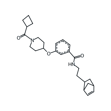 O=C(NCCC1CC2C=CC1C2)c1cccc(OC2CCN(C(=O)C3CCC3)CC2)c1